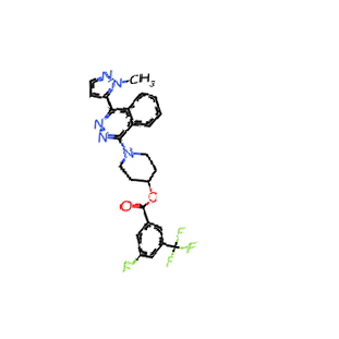 Cn1nccc1-c1nnc(N2CCC(OC(=O)c3cc(F)cc(C(F)(F)F)c3)CC2)c2ccccc12